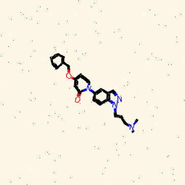 CN(C)CCCn1ncc2cc(-n3ccc(OCc4ccccc4)cc3=O)ccc21